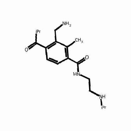 Cc1c(C(=O)NCCNC(C)C)ccc(C(=O)C(C)C)c1CN